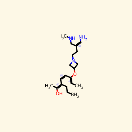 BCCC(/C=C\C(=C\C)OC1CN(CC/C(=C/N)CNC)C1)=C(/C)O